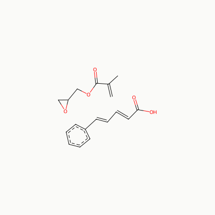 C=C(C)C(=O)OCC1CO1.O=C(O)C=CC=Cc1ccccc1